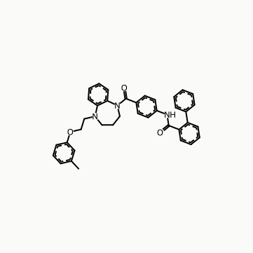 Cc1cccc(OCCN2CCCN(C(=O)c3ccc(NC(=O)c4ccccc4-c4ccccc4)cc3)c3ccccc32)c1